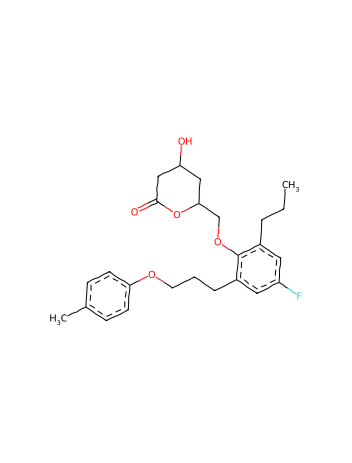 CCCc1cc(F)cc(CCCOc2ccc(C)cc2)c1OCC1CC(O)CC(=O)O1